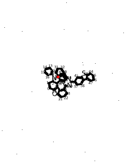 C1=CC2C(c3ccccc3N2c2ccccc2)c2c1oc1cccc(-c3nc(-c4ccccc4)nc(-c4ccc5c(c4)sc4ccccc45)n3)c21